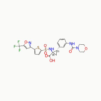 O=C(Nc1cccc([C@@H]2C[C@]2(NS(=O)(=O)c2ccc(-c3cc(C(F)(F)F)on3)s2)C(=O)O)c1)N1CCOCC1